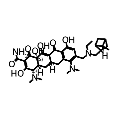 CCN(Cc1cc(O)c2c(c1N(C)C)C[C@H]1C[C@H]3[C@H](N(C)C)C(O)=C(C(N)=O)C(=O)[C@@]3(O)C(O)=C1C2=O)C[C@H]1CC2CC1C2(C)C